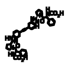 O=C(O)NC(C(=O)N1CCCC1c1nc2cc(C#Cc3ccc4[nH]c([C@@H]5CCCN5C(=O)[C@H](NC(=O)O)c5ccccc5)nc4c3)ccc2[nH]1)c1ccccc1